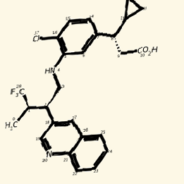 C[C@H]([C@@H](CNc1cc([C@@H](CC(=O)O)C2CC2)ccc1Cl)c1cnc2ccccc2c1)C(F)(F)F